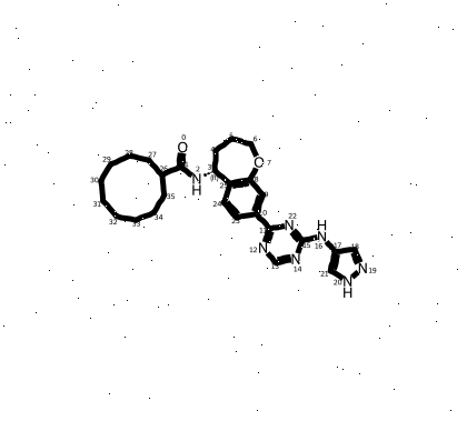 O=C(N[C@@H]1CCCOc2cc(-c3ncnc(Nc4cn[nH]c4)n3)ccc21)C1CCCCCCCCC1